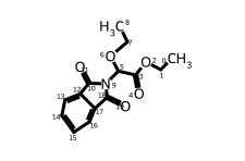 CCOC(=O)C(OCC)N1C(=O)c2ccccc2C1=O